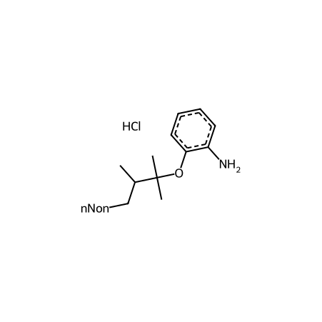 CCCCCCCCCCC(C)C(C)(C)Oc1ccccc1N.Cl